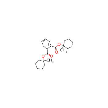 CC1(OC(=O)C2C3C=CC(C3)C2C(=O)OC2(C)CCCCC2)CCCCC1